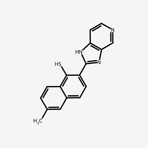 Cc1ccc2c(S)c(-c3nc4cnccc4[nH]3)ccc2c1